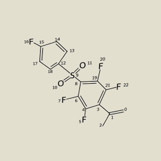 C=C(C)c1c(F)c(F)c(S(=O)(=O)c2ccc(F)cc2)c(F)c1F